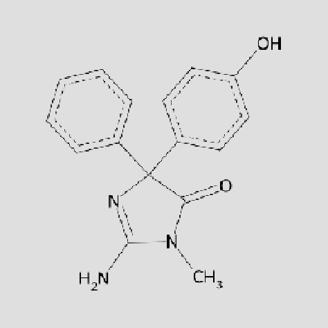 CN1C(=O)C(c2ccccc2)(c2ccc(O)cc2)N=C1N